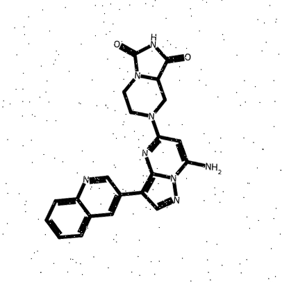 Nc1cc(N2CCN3C(=O)NC(=O)C3C2)nc2c(-c3cnc4ccccc4c3)cnn12